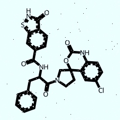 O=C1Nc2ccc(Cl)cc2C2(CCN(C(=O)C(Cc3ccccc3)NC(=O)c3ccc4c(=O)[nH]sc4c3)C2)O1